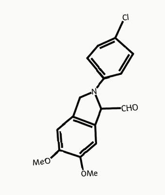 COc1cc2c(cc1OC)C(C=O)N(c1ccc(Cl)cc1)C2